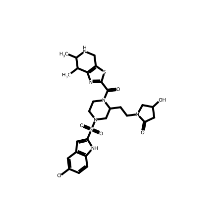 CC1NCc2sc(C(=O)N3CCN(S(=O)(=O)c4cc5cc(Cl)ccc5[nH]4)CC3CCN3CC(O)CC3=O)nc2C1C